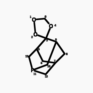 C1OOC2(O1)C1CC3CC2CP(C3)C1